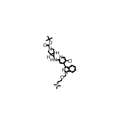 CC(C)(C)OC(=O)N1C[C@@H]2C(Nc3cc(-c4nn(COCC[Si](C)(C)C)c5ccccc45)c(Cl)cn3)[C@@H]2C1